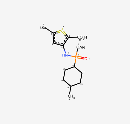 COP(=O)(Nc1cc(C(C)(C)C)sc1C(=O)O)C1CCC(C)CC1